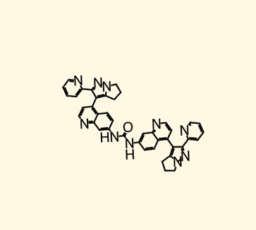 O=C(Nc1ccc2c(-c3c(-c4ccccn4)nn4c3CCC4)ccnc2c1)Nc1ccc2c(-c3c(-c4ccccn4)nn4c3CCC4)ccnc2c1